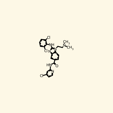 CN(C)CCn1c(Nc2c(Cl)cccc2Cl)nc2cc(C(=O)Nc3cc(Cl)ccn3)ccc21